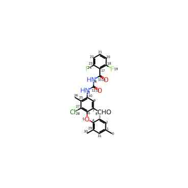 Cc1ccc(Oc2c(C=O)cc(NC(=O)NC(=O)c3c(F)cccc3F)c(C)c2Cl)c(C)c1